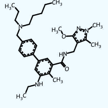 CCCCCN(CCC)Cc1ccc(-c2cc(NCC)c(C)c(C(=O)NCc3c(OC)nn(C)c3C)c2)cc1